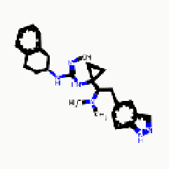 CN(C)C(Cc1ccc2[nH]ncc2c1)C1(NC(=NC#N)N[C@H]2CCc3ccccc3C2)CC1